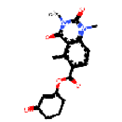 CCCn1c(=O)c2c(C)c(C(=O)OC3=CC(=O)CCC3)ccc2n(C)c1=O